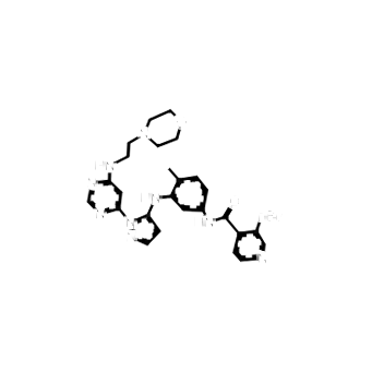 CCCCc1cnccc1C(=O)Nc1ccc(C)c(Nc2ccnn2-c2cc(NCCN3CCOCC3)ncn2)c1